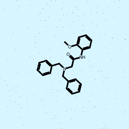 COc1ccccc1NC(=O)CN(Cc1ccccc1)Cc1ccccc1